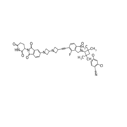 CC1(C)[C@H](Oc2ccc(C#N)c(Cl)c2)C(C)(C)[C@H]1N1Cc2c(ccc(C#CC3CN(C4CN(c5ccc6c(c5)C(=O)N(C5CCC(=O)NC5=O)C6=O)C4)C3)c2F)C1=O